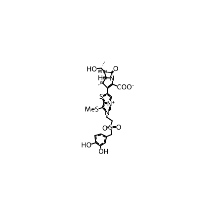 CSc1c2sc(C3=C(C(=O)[O-])N4C(=O)[C@H]([C@@H](C)O)[C@H]4[C@H]3C)c[n+]2cn1CCS(=O)(=O)Cc1ccc(O)c(O)c1